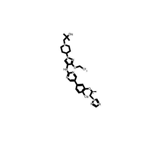 C[C@@H](Cn1cncn1)Oc1cc(-c2cnc(Nc3cn(C4CCN(CC(C)(C)O)CC4)nc3OCC(F)(F)F)nc2)ccc1C#N